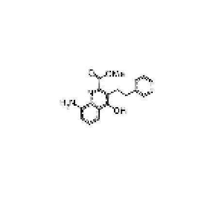 COC(=O)c1nc2c(N)cccc2c(O)c1CCc1ccccc1